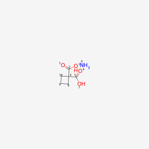 N.O=C(O)C1(C(=O)O)CCC1